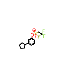 O=S(=O)(CC(F)(F)F)Oc1cccc(C2CCCC2)c1